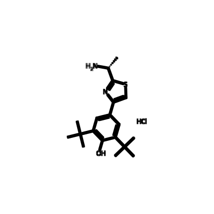 C[C@@H](N)c1nc(-c2cc(C(C)(C)C)c(O)c(C(C)(C)C)c2)cs1.Cl